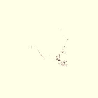 CCCCCCCC/C=C\CCCCCCCC(=O)OC[C@H](COP(=O)(O)OC(CC)C[N+](C)(C)C)OC(=O)CCCCCCC/C=C\CCCCCCCC